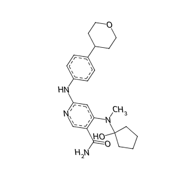 CN(c1cc(Nc2ccc(C3CCOCC3)cc2)ncc1C(N)=O)C1(O)CCCC1